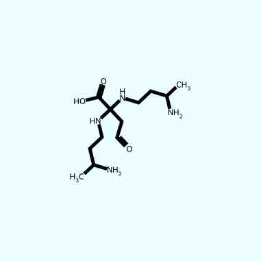 CC(N)CCNC(CC=O)(NCCC(C)N)C(=O)O